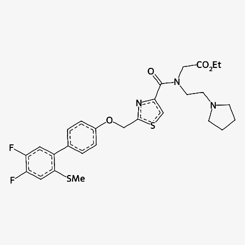 CCOC(=O)CN(CCN1CCCC1)C(=O)c1csc(COc2ccc(-c3cc(F)c(F)cc3SC)cc2)n1